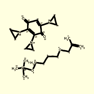 C=C(C)COCCC[SiH2]O[Si](C)(C)C.O=C1C=C(N2CC2)C(=O)C(N2CC2)=C1N1CC1